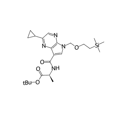 C[C@H](NC(=O)c1cn(COCC[Si](C)(C)C)c2ncc(C3CC3)nc12)C(=O)OC(C)(C)C